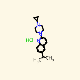 CC(C)c1ccc2nc(N3CCN(C4CC4)CC3)ccc2c1.Cl